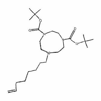 C=CCCCCCCN1CCN(C(=O)OC(C)(C)C)CCN(C(=O)OC(C)(C)C)CC1